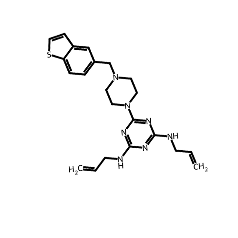 C=CCNc1nc(NCC=C)nc(N2CCN(Cc3ccc4sccc4c3)CC2)n1